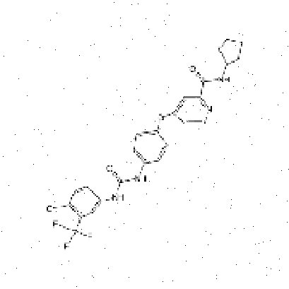 O=C(Nc1ccc(Oc2ccnc(C(=O)NC3CCCC3)c2)cc1)Nc1ccc(Cl)c(C(F)(F)F)c1